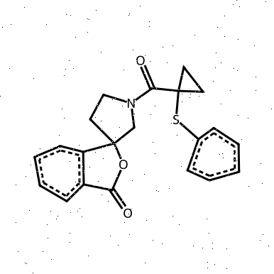 O=C1OC2(CCN(C(=O)C3(Sc4ccccc4)CC3)C2)c2ccccc21